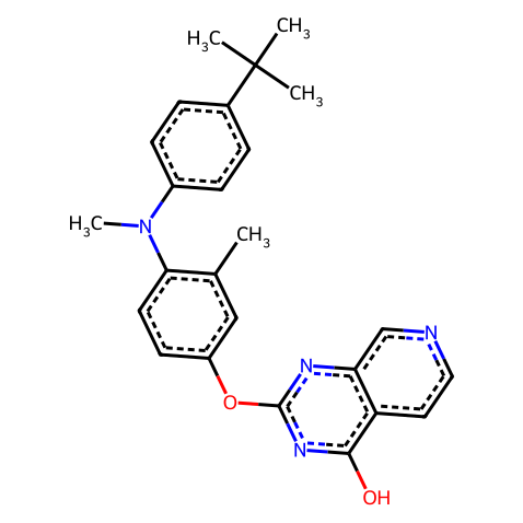 Cc1cc(Oc2nc(O)c3ccncc3n2)ccc1N(C)c1ccc(C(C)(C)C)cc1